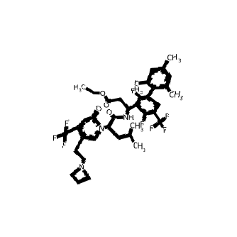 CCOC(=O)CC(NC(=O)C(CC(C)C)n1cc(CCN2CCC2)c(C(F)(F)F)cc1=O)c1c(F)c(-c2c(C)cc(C)cc2C)cc(C(F)(F)F)c1F